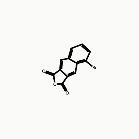 O=C1OC(=O)c2cc3c(Br)cccc3cc21